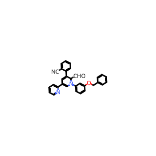 N#Cc1ccccc1C1=CC(c2ccccn2)=CN(c2cccc(OCc3ccccc3)c2)C1C=O